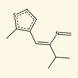 C=N/C(=C\c1ccsc1C)C(C)C